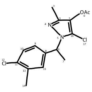 CC(=O)Oc1c(C)nn(C(C)c2ccc(Cl)c(C)c2)c1Cl